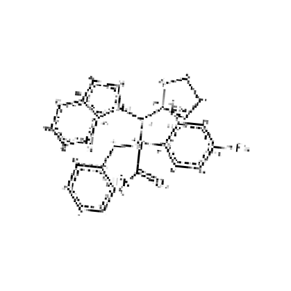 NC(=O)[N+](Cc1ccccc1)(c1ccc(F)cc1F)C(C1CCCC1)n1ccc2cccnc21